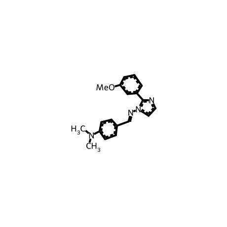 COc1cccc(-c2nccn2N=Cc2ccc(N(C)C)cc2)c1